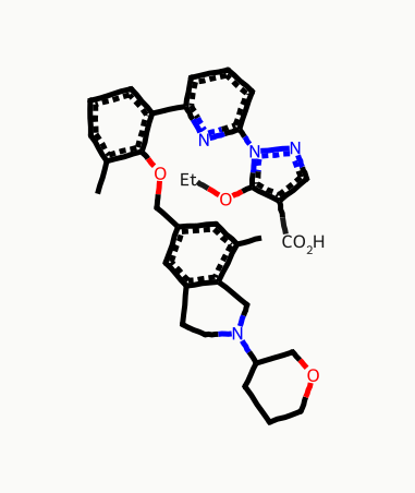 CCOc1c(C(=O)O)cnn1-c1cccc(-c2cccc(C)c2OCc2cc(C)c3c(c2)CCN(C2CCCOC2)C3)n1